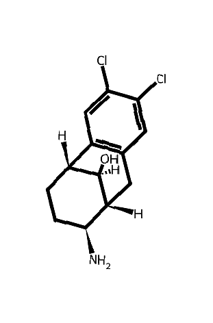 N[C@H]1CC[C@@H]2c3cc(Cl)c(Cl)cc3C[C@H]1[C@@H]2O